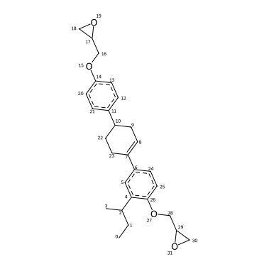 CCC(C)c1cc(C2=CCC(c3ccc(OCC4CO4)cc3)CC2)ccc1OCC1CO1